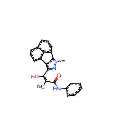 Cn1nc(C(O)=C(C#N)C(=O)Nc2ccccc2)c2c1-c1cccc3cccc-2c13